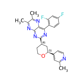 Cc1cc([C@@H]2C[C@H](c3nc(-c4ccc(F)cc4F)c4nc(C)c(C)nc4n3)CCO2)ccn1